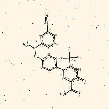 CC(Oc1ccc(-c2cc(C(N)=O)c(=O)[nH]c2C(F)(F)F)cc1)c1cncc(C#N)c1